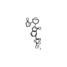 O=C1CCCN1[C@H]1COCC[C@@H]1N1Cc2ccc(-c3noc(C(F)(F)F)n3)cc2C1=O